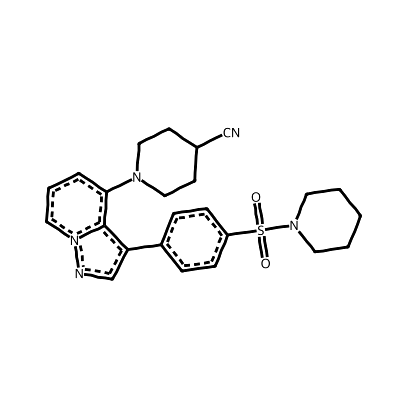 N#CC1CCN(c2cccn3ncc(-c4ccc(S(=O)(=O)N5CCCCC5)cc4)c23)CC1